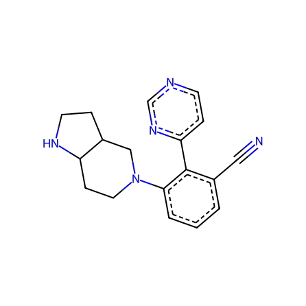 N#Cc1cccc(N2CCC3NCCC3C2)c1-c1ccncn1